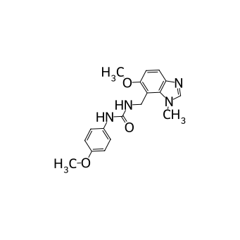 COc1ccc(NC(=O)NCc2c(OC)ccc3ncn(C)c23)cc1